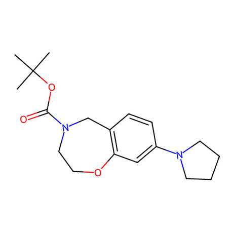 CC(C)(C)OC(=O)N1CCOc2cc(N3CCCC3)ccc2C1